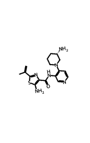 C=C(C)c1nc(C(=O)Nc2cnccc2N2CCC[C@H](N)C2)c(N)s1